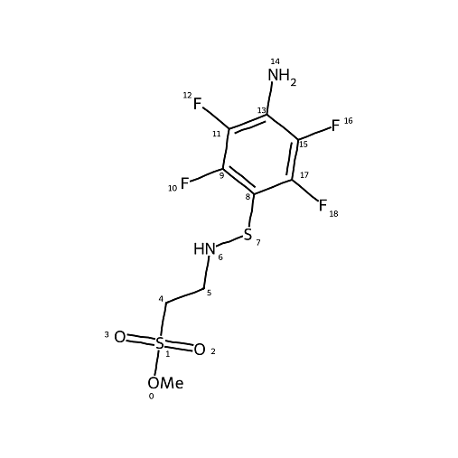 COS(=O)(=O)CCNSc1c(F)c(F)c(N)c(F)c1F